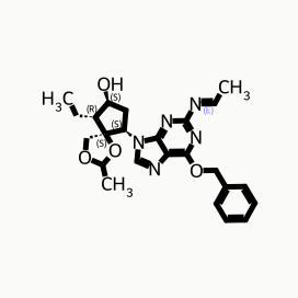 C/C=N/c1nc(OCc2ccccc2)c2ncn([C@H]3C[C@H](O)[C@@H](CC)[C@@]34COC(C)O4)c2n1